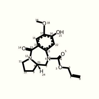 C=CCOC(=O)N1C[C@@H]2CCCN2C(=O)c2cc(OC)c(O)cc21